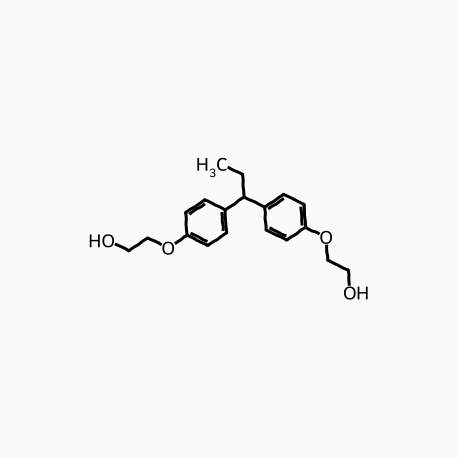 CCC(c1ccc(OCCO)cc1)c1ccc(OCCO)cc1